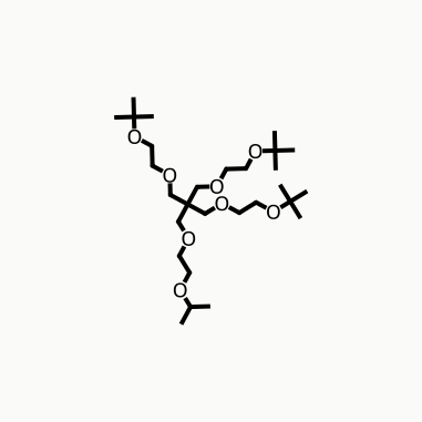 CC(C)OCCOCC(COCCOC(C)(C)C)(COCCOC(C)(C)C)COCCOC(C)(C)C